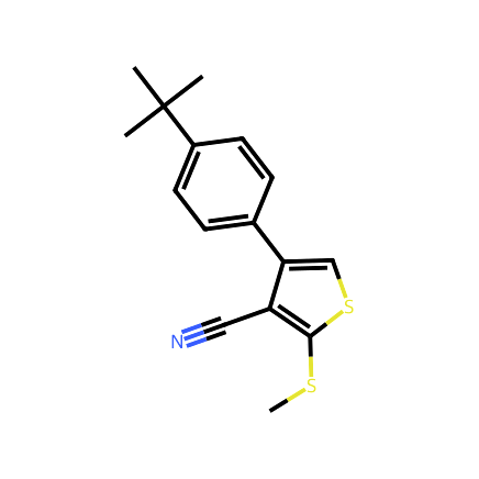 CSc1scc(-c2ccc(C(C)(C)C)cc2)c1C#N